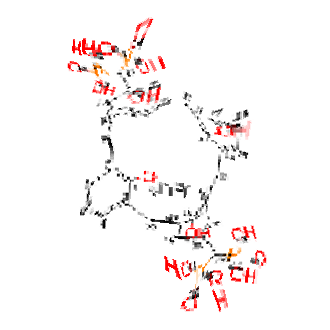 CCCOc1c2cccc1Cc1cc(C(P(=O)(O)O)P(=O)(O)O)cc(c1O)Cc1cccc(c1O)Cc1cc(C(P(=O)(O)O)P(=O)(O)O)cc(c1O)C2